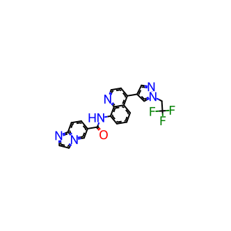 O=C(Nc1cccc2c(-c3cnn(CC(F)(F)F)c3)ccnc12)c1ccc2nccn2c1